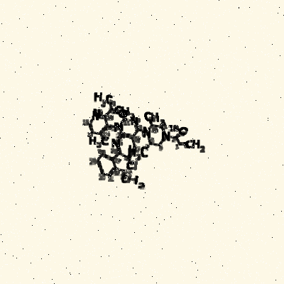 C=CC(=[18O])N1C[C@H](C)N(c2nc(=O)n(-c3c(C)ccnc3C(C)C)c3nc(-c4ccccc4C=C)c(Cl)cc23)[C@@H](C)C1